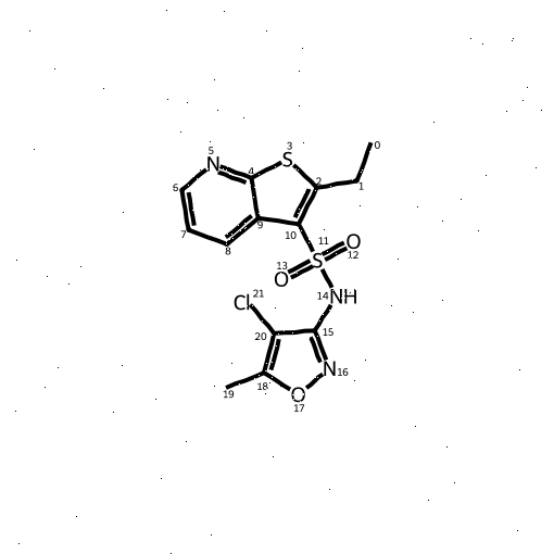 CCc1sc2ncccc2c1S(=O)(=O)Nc1noc(C)c1Cl